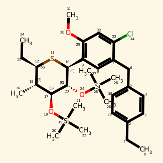 CCc1ccc(Cc2cc([C@@H]3S[C@H](CC)[C@@H](C)[C@H](O[Si](C)(C)C)[C@H]3O[Si](C)(C)C)c(OC)cc2Cl)cc1